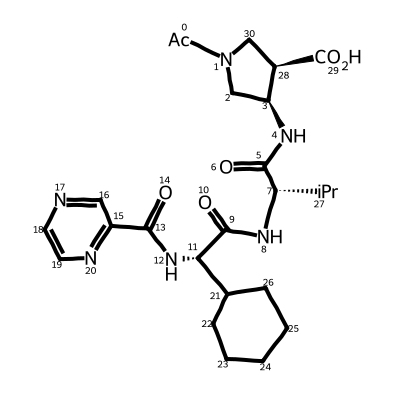 CC(=O)N1C[C@H](NC(=O)[C@@H](NC(=O)[C@@H](NC(=O)c2cnccn2)C2CCCCC2)C(C)C)[C@H](C(=O)O)C1